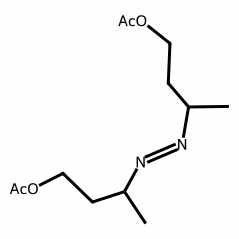 CC(=O)OCCC(C)N=NC(C)CCOC(C)=O